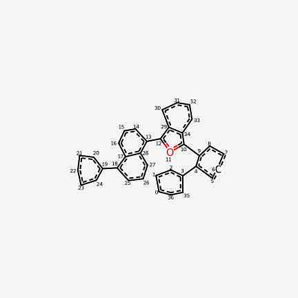 c1ccc(-c2ccccc2-c2oc(-c3cccc4c(-c5ccccc5)cccc34)c3ccccc23)cc1